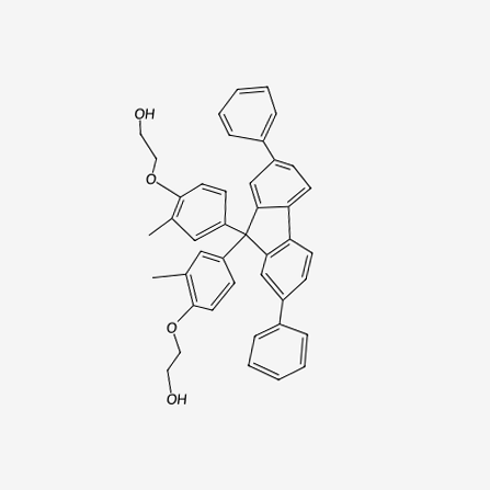 Cc1cc(C2(c3ccc(OCCO)c(C)c3)c3cc(-c4ccccc4)ccc3-c3ccc(-c4ccccc4)cc32)ccc1OCCO